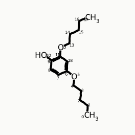 CCCCCOc1ccc(O)c(OCCCCC)c1